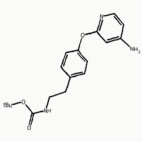 CC(C)(C)OC(=O)NCCc1ccc(Oc2cc(N)ccn2)cc1